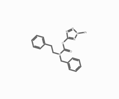 CC(C)n1nnc(OC(=O)N(CCc2ccccc2)Cc2ccccc2)n1